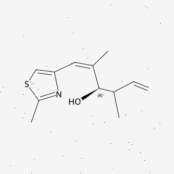 C=CC(C)[C@@H](O)C(C)=Cc1csc(C)n1